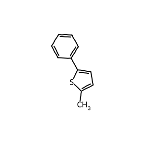 Cc1ccc(-c2ccccc2)s1